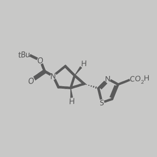 CC(C)(C)OC(=O)N1C[C@@H]2[C@H](C1)[C@@H]2c1nc(C(=O)O)cs1